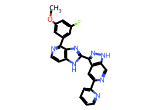 COc1cc(F)cc(-c2nccc3[nH]c(-c4n[nH]c5cnc(-c6ccccn6)cc45)nc23)c1